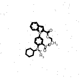 CCOC(=O)c1cc2ccccc2n1-c1ccc(N(C)C2CCCCC2)c([N+](=O)[O-])c1